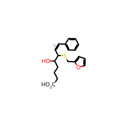 O=C(O)CCCC(O)C(/C=C\c1ccccc1)SCc1ccco1